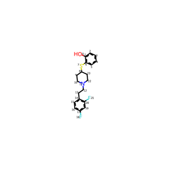 Oc1ccccc1SC1CCN(CCc2ccc(F)cc2F)CC1